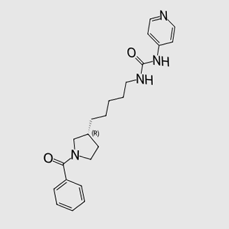 O=C(NCCCCC[C@@H]1CCN(C(=O)c2ccccc2)C1)Nc1ccncc1